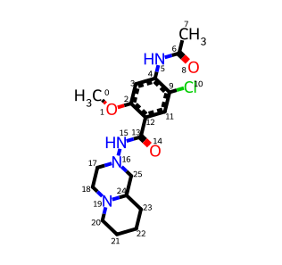 COc1cc(NC(C)=O)c(Cl)cc1C(=O)NN1CCN2CCCCC2C1